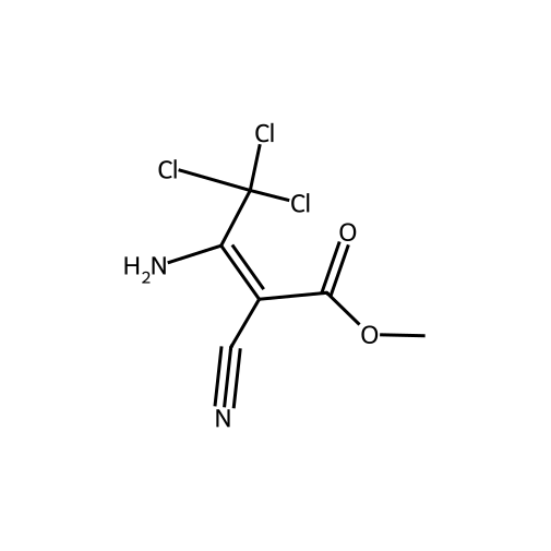 COC(=O)/C(C#N)=C(/N)C(Cl)(Cl)Cl